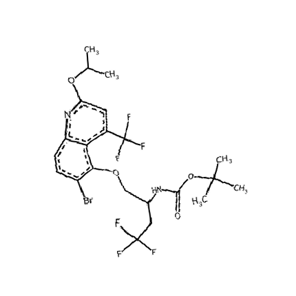 CC(C)Oc1cc(C(F)(F)F)c2c(OCC(CC(F)(F)F)NC(=O)OC(C)(C)C)c(Br)ccc2n1